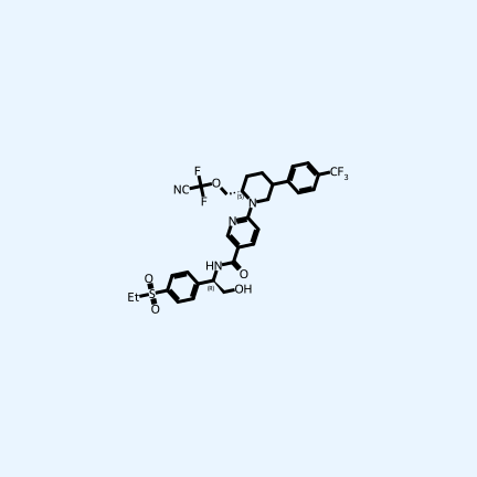 CCS(=O)(=O)c1ccc([C@H](CO)NC(=O)c2ccc(N3CC(c4ccc(C(F)(F)F)cc4)CC[C@H]3COC(F)(F)C#N)nc2)cc1